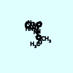 COc1ccc(-c2nc3c4ccccc4nc(Nc4ccccnc4=O)n3n2)cc1C